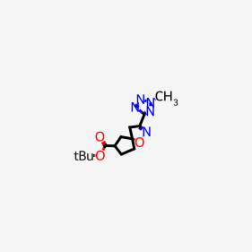 Cn1nnc(C2=NOC3(CCC(C(=O)OC(C)(C)C)C3)C2)n1